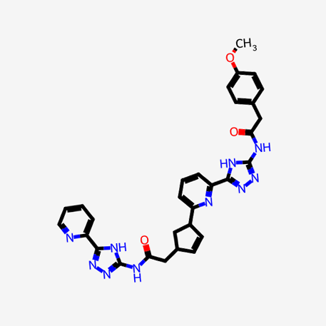 COc1ccc(CC(=O)Nc2nnc(-c3cccc(C4C=CC(CC(=O)Nc5nnc(-c6ccccn6)[nH]5)C4)n3)[nH]2)cc1